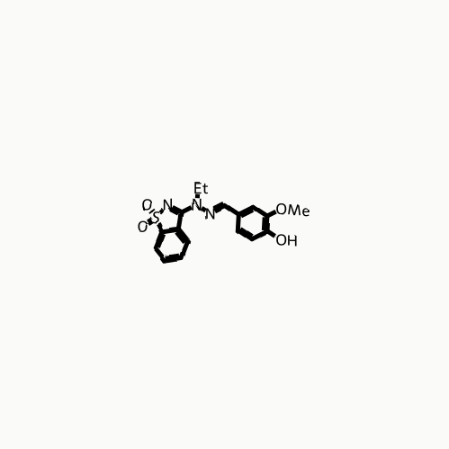 CCN(N=Cc1ccc(O)c(OC)c1)C1=NS(=O)(=O)c2ccccc21